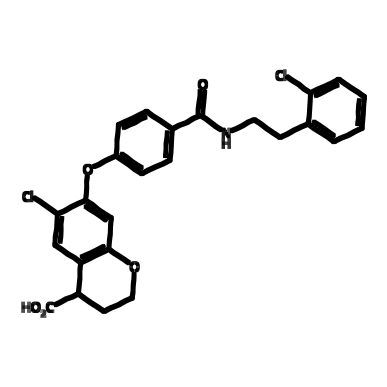 O=C(NCCc1ccccc1Cl)c1ccc(Oc2cc3c(cc2Cl)C(C(=O)O)CCO3)cc1